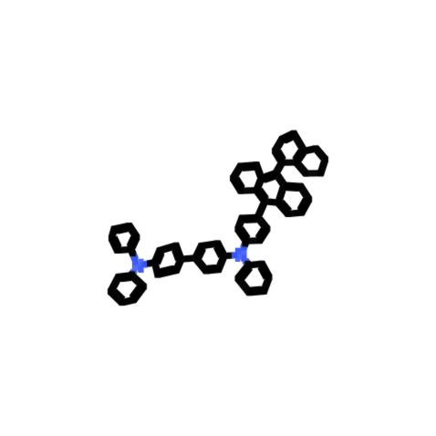 c1ccc(N(c2ccccc2)c2ccc(-c3ccc(N(c4ccccc4)c4ccc(-c5c6ccccc6c(-c6cccc7c6CCCC7)c6ccccc56)cc4)cc3)cc2)cc1